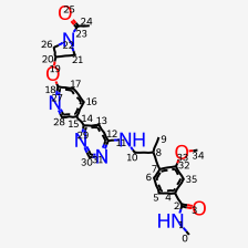 CNC(=O)c1ccc(C(C)CNc2cc(-c3ccc(OC4CN(C(C)=O)C4)nc3)ncn2)c(OC)c1